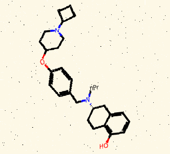 CCCN(Cc1ccc(OC2CCN(C3CCC3)CC2)cc1)[C@H]1CCc2c(O)cccc2C1